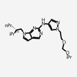 CCC[C@H](Cn1ccc2cnc(Nc3cnn(CCOCOC(C)C)c3)nc21)C(C)C